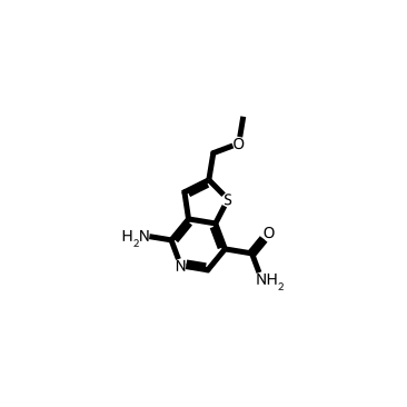 COCc1cc2c(N)ncc(C(N)=O)c2s1